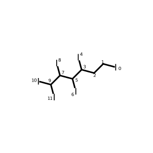 ICCC(I)C(I)C(I)C(I)I